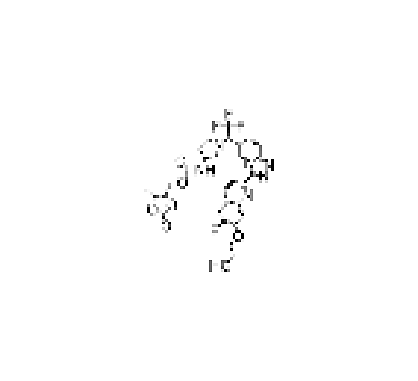 Cc1oc(=O)oc1COC(=O)NC1CCN([C@H](c2ccc3nnc(-c4ccc5cc(F)c(OCCO)cc5n4)n3c2)C(F)(F)F)C1